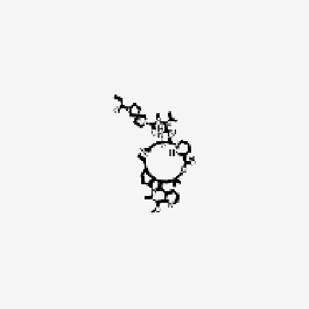 C=CC(=O)N1CC[C@@]2(CCN(C(=O)N(C)[C@H](C(=O)N[C@H]3Cc4nc(cs4)-c4ccc5c(c4)c(c(-c4cccnc4[C@H](C)OC)n5CC)CC(C)(C)COC(=O)[C@@]4(O)CCCN(N4)C3=O)C(C)C)C2)C1